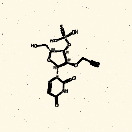 C#CCO[C@@H]1[C@H](OP(O)(O)=S)[C@@H](CO)O[C@H]1n1ccc(=O)[nH]c1=O